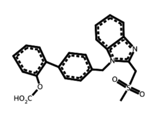 CS(=O)(=O)Cc1nc2ccccc2n1Cc1ccc(-c2ccccc2OC(=O)O)cc1